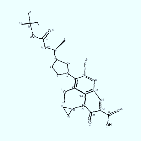 COc1c(N2CCC([C@H](C)NC(=O)OC(C)(C)C)C2)c(F)cc2cc(C(=O)O)c(=O)n(C3CC3)c12